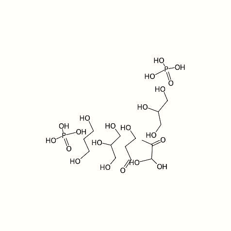 CC(=O)C(O)O.O=CCCO.O=P(O)(O)O.O=P(O)(O)O.OCC(O)CO.OCC(O)CO.OCCCO